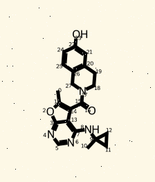 Cc1oc2ncnc(NC3(C)CC3)c2c1C(=O)N1CCc2cc(O)ccc2C1